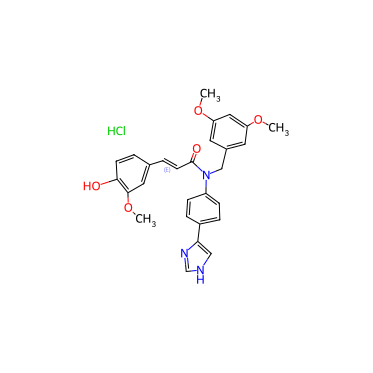 COc1cc(CN(C(=O)/C=C/c2ccc(O)c(OC)c2)c2ccc(-c3c[nH]cn3)cc2)cc(OC)c1.Cl